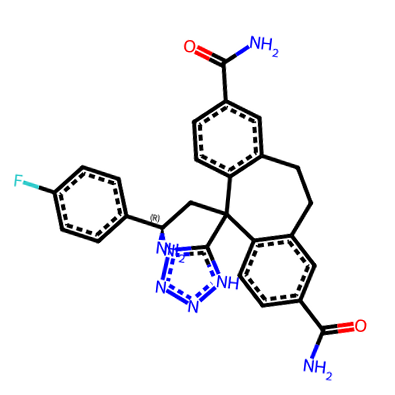 NC(=O)c1ccc2c(c1)CCc1cc(C(N)=O)ccc1C2(C[C@@H](N)c1ccc(F)cc1)c1nnn[nH]1